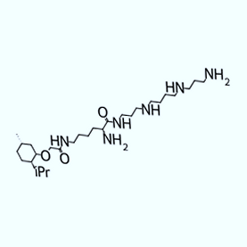 CC(C)[C@H]1CC[C@H](C)CC1OCC(=O)NCCCC[C@H](N)C(=O)NCCCNCCCCNCCCN